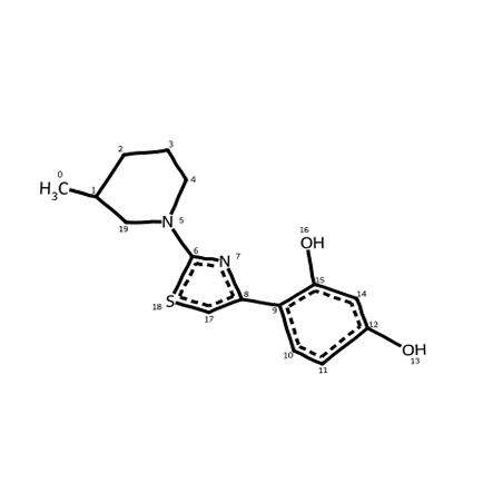 CC1CCCN(c2nc(-c3ccc(O)cc3O)cs2)C1